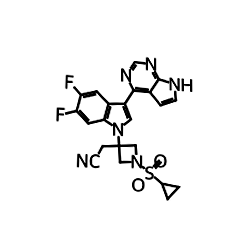 N#CCC1(n2cc(-c3ncnc4[nH]ccc34)c3cc(F)c(F)cc32)CN(S(=O)(=O)C2CC2)C1